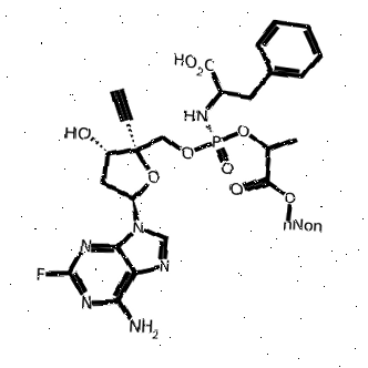 C#C[C@]1(CO[P@@](=O)(NC(Cc2ccccc2)C(=O)O)OC(C)C(=O)OCCCCCCCCC)O[C@@H](n2cnc3c(N)nc(F)nc32)C[C@@H]1O